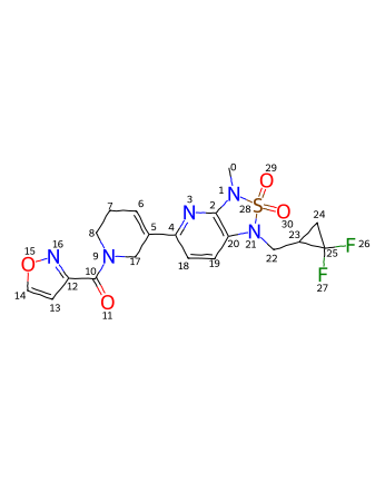 CN1c2nc(C3=CCCN(C(=O)c4ccon4)C3)ccc2N(CC2CC2(F)F)S1(=O)=O